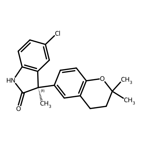 CC1(C)CCc2cc([C@@]3(C)C(=O)Nc4ccc(Cl)cc43)ccc2O1